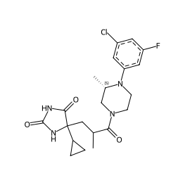 CC(CC1(C2CC2)NC(=O)NC1=O)C(=O)N1CCN(c2cc(F)cc(Cl)c2)[C@@H](C)C1